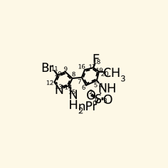 CCCS(=O)(=O)Nc1cc(-c2cc(Br)cnc2N)cc(F)c1C